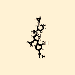 C#Cc1ccc(-c2nnc(N[C@@H]3CCCN(C4CC4)C3)cc2C2CC2)c(O)c1